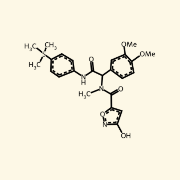 COc1ccc(C(C(=O)Nc2ccc(S(C)(C)C)cc2)N(C)C(=O)c2cc(O)no2)cc1OC